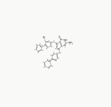 Nc1nc2c(c(=O)[nH]1)[n+](Cc1ccc(-c3ccccc3)cc1)cn2Cc1ccc(-c2ccccc2)cc1.[Br-]